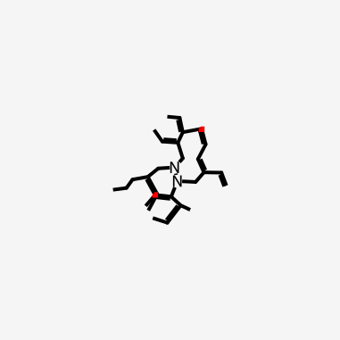 C=C/C=C(\C=C)CN(C(=C/C)/C(C)=C\C)N(C/C(=C/C)CCC)CC(=C/C)/C(C)=C\C